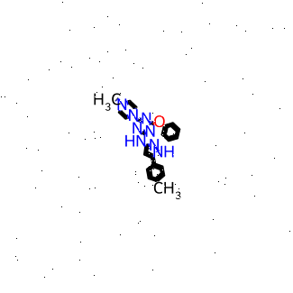 Cc1ccc(-c2cc(Nc3nc(Oc4ccccc4)nc(N4CCN(C)CC4)n3)n[nH]2)cc1